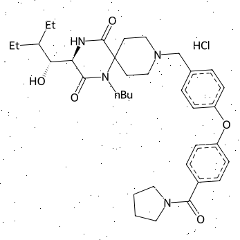 CCCCN1C(=O)[C@@H]([C@H](O)C(CC)CC)NC(=O)C12CCN(Cc1ccc(Oc3ccc(C(=O)N4CCCC4)cc3)cc1)CC2.Cl